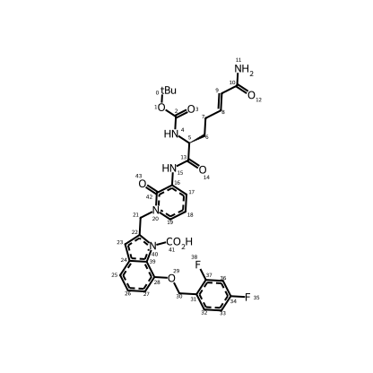 CC(C)(C)OC(=O)N[C@@H](CC/C=C/C(N)=O)C(=O)Nc1cccn(Cc2cc3cccc(OCc4ccc(F)cc4F)c3n2C(=O)O)c1=O